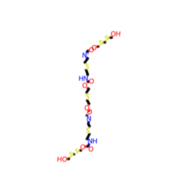 O=C(NCCSCC/N=C\OOCSCSCO)OCCSCCOO/C=N/CCSCCNC(=O)OCSCSCO